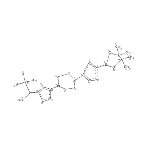 CC1(C)OB(c2ccc(N3CCN(c4ccc(C(O)C(F)(F)F)s4)CC3)cc2)OC1(C)C